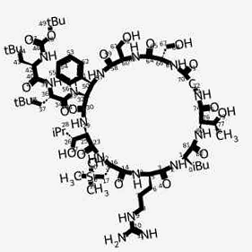 CC[C@H](C)[C@@H]1NC(=O)[C@@H](CCCNC(=N)N)NC(=O)[C@H](C[Si](C)(C)C)NC(=O)[C@H]([C@H](O)C(C)C)NC(=O)[C@@H](NC(=O)[C@H](CC(C)(C)C)NC(=O)[C@@H](CC(C)(C)C)NC(=O)OC(C)(C)C)[C@@H](c2ccccc2)NC(=O)C(CO)NC(=O)[C@H](CO)NC(=O)CNC(=O)[C@H]([C@H](C)O)NC1=O